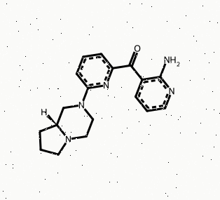 Nc1ncccc1C(=O)c1cccc(N2CCN3CCC[C@@H]3C2)n1